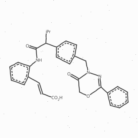 CC(C)C(C(=O)Nc1ccccc1/C=C/C(=O)O)c1ccc(CN2N=C(c3ccccc3)OCC2=O)cc1